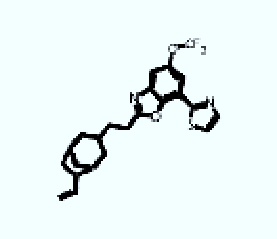 C=CC1CC2CC(CCc3nc4cc(OC(F)(F)F)cc(-c5nccs5)c4o3)CC1C2